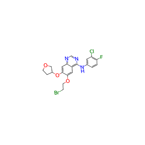 Fc1ccc(Nc2ncnc3cc(OC4CCOC4)c(OCCBr)cc23)cc1Cl